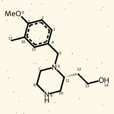 COc1ccc(CN2CCNC[C@H]2CCO)cc1C